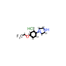 Cl.FC(F)(F)COc1ccc(N2CCNCC2)cc1